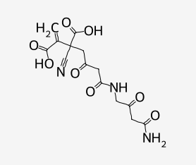 C=C(C(=O)O)C(C#N)(CC(=O)CC(=O)NCC(=O)CC(N)=O)C(=O)O